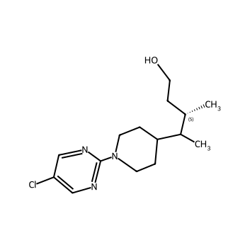 CC(C1CCN(c2ncc(Cl)cn2)CC1)[C@@H](C)CCO